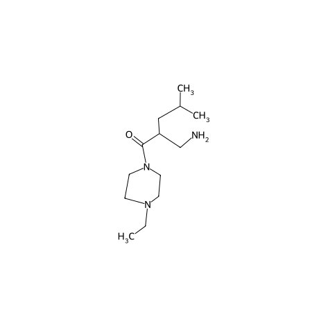 CCN1CCN(C(=O)C(CN)CC(C)C)CC1